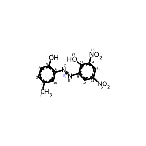 Cc1ccc(O)c(/N=N/c2cc([N+](=O)[O-])cc([N+](=O)[O-])c2O)c1